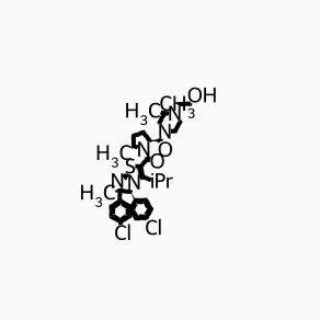 CC(C)C1=C(C(=O)N2[C@H](C)CC[C@H]2C(=O)N2CCN(CCO)C(C)(C)C2)SC2=N[C@@](C)(c3ccc(Cl)cc3)[C@@H](c3ccc(Cl)cc3)N21